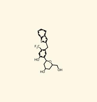 OCC1CC(O)CC(c2cc(Cc3cc4ccccc4s3)c(C(F)(F)F)cc2O)O1